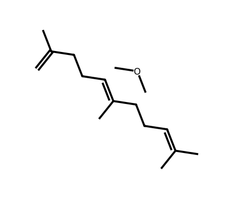 C=C(C)CC/C=C(\C)CCC=C(C)C.COC